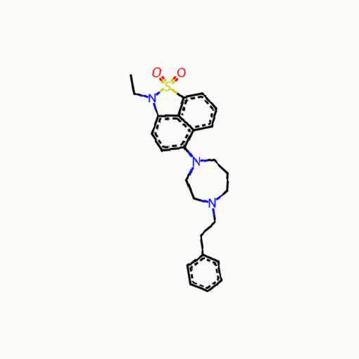 CCN1c2ccc(N3CCCN(CCc4ccccc4)CC3)c3cccc(c23)S1(=O)=O